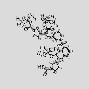 CC(C)(C)OC(=O)[C@@H](Cc1cccc(S(=O)(=O)c2cccc(C[C@H](C(=O)OC(C)(C)C)[C@H]3CCN(C(=O)OC(C)(C)C)C3)c2)c1)[C@H]1CCN(C(=O)O)C1